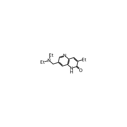 CCc1cc2ncc(CN(CC)CC)cc2[nH]c1=O